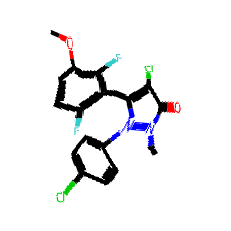 COc1ccc(F)c(-c2c(Cl)c(=O)n(C)n2-c2ccc(Cl)cc2)c1F